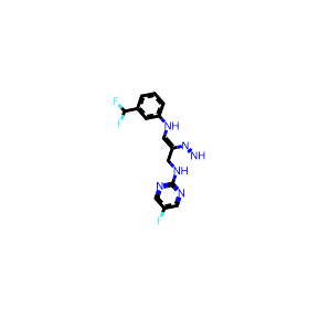 N=N/C(=C\Nc1cccc(C(F)F)c1)CNc1ncc(F)cn1